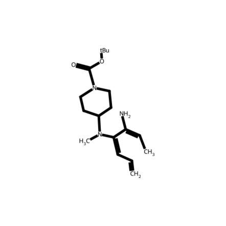 C=C/C=C(\C(N)=C/C)N(C)C1CCN(C(=O)OC(C)(C)C)CC1